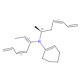 C=C/C=C\C[C@H](C)N(C1=CCCCC1)C(/C=C\C=C)=C/C